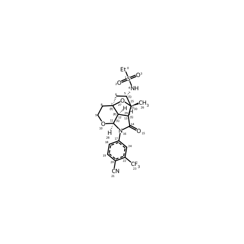 CCS(=O)(=O)N[C@H]1C[C@@]23CCO[C@H]4[C@@H]2[C@H](C(=O)N4c2ccc(C#N)c(C(F)(F)F)c2)[C@]1(C)O3